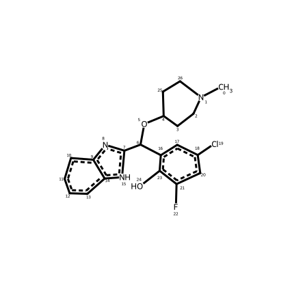 CN1CCC(OC(c2nc3ccccc3[nH]2)c2cc(Cl)cc(F)c2O)CC1